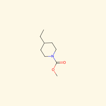 CCC1CCN(C(=O)OC)CC1